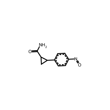 NC(=O)C1CC1c1ccc(N=O)cc1